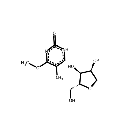 COc1nc(=O)[nH]cc1C.OC[C@H]1OC[C@H](O)[C@@H]1O